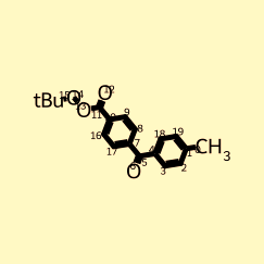 Cc1ccc(C(=O)c2ccc(C(=O)OOC(C)(C)C)cc2)cc1